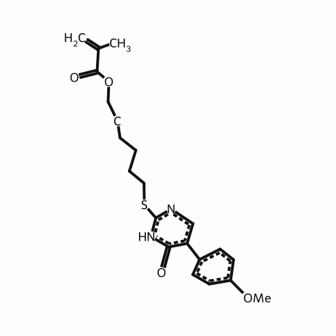 C=C(C)C(=O)OCCCCCCSc1ncc(-c2ccc(OC)cc2)c(=O)[nH]1